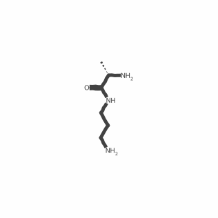 C[C@H](N)C(=O)NCCCN